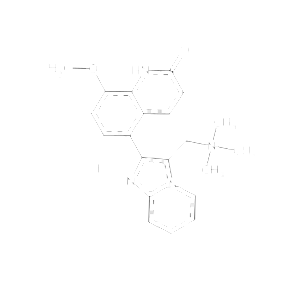 COc1ccc(-c2nc3ccccn3c2C[N+](C)(C)C)c2ccc(=O)[nH]c12.[I-]